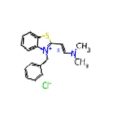 CN(C)/C=C/c1sc2ccccc2[n+]1Cc1ccccc1.[Cl-]